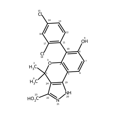 CC1(C)Oc2c(ccc(O)c2-c2ccc(Cl)cc2Cl)-c2[nH]nc(C(=O)O)c21